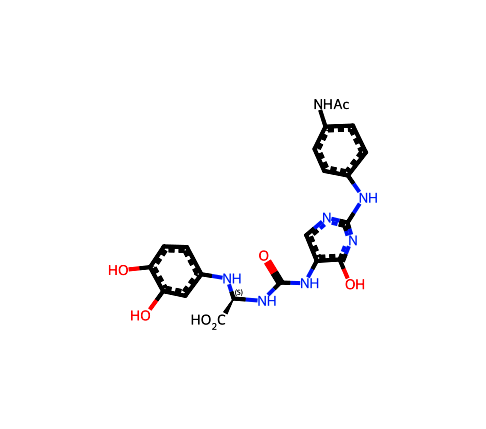 CC(=O)Nc1ccc(Nc2ncc(NC(=O)N[C@H](Nc3ccc(O)c(O)c3)C(=O)O)c(O)n2)cc1